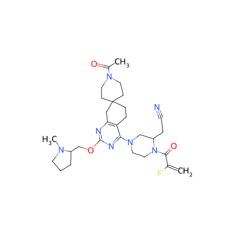 C=C(F)C(=O)N1CCN(c2nc(OCC3CCCN3C)nc3c2CCC2(CCN(C(C)=O)CC2)C3)CC1CC#N